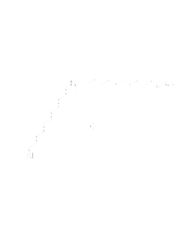 CCCCCCCCCCCCCCCCCCCCC[N+](C)(C)CCCCCCCCCCCCCCCCCCCCC.[Cl-]